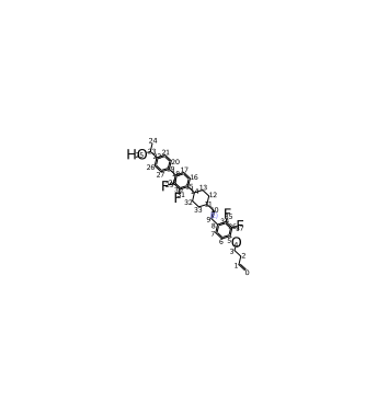 C=CCCOc1ccc(/C=C/C2CCC(c3ccc(-c4ccc(C(C)O)cc4)c(F)c3F)CC2)c(F)c1F